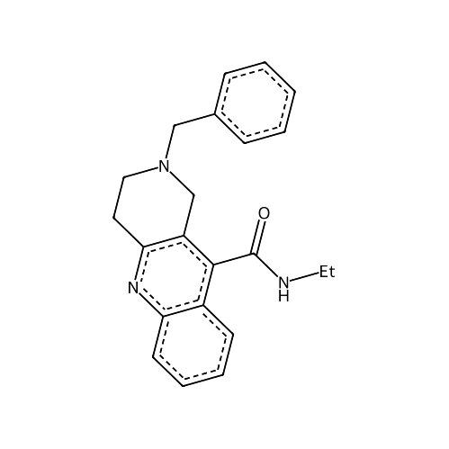 CCNC(=O)c1c2c(nc3ccccc13)CCN(Cc1ccccc1)C2